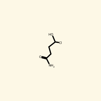 NC(=O)CCC(O)Cl